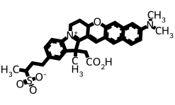 CC(CCc1ccc2c(c1)C(C)(CC(=O)O)C1=[N+]2CCC2Oc3cc4cc(N(C)C)ccc4cc3C=C12)S(=O)(=O)[O-]